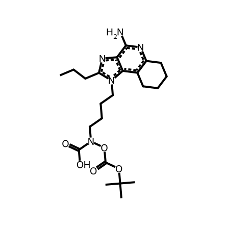 CCCc1nc2c(N)nc3c(c2n1CCCCN(OC(=O)OC(C)(C)C)C(=O)O)CCCC3